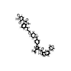 Cn1c(=O)n([C@H]2CCC(=O)NC2=O)c2cccc(CCCOC3CCN(CC4CCC(n5cc(NC(=O)c6cnn7ccc(N8CCOCC8)nc67)c(C(F)F)n5)CC4)CC3)c21